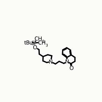 CC(C)(C)[Si](C)(C)OCCC1CCN(CCCN2C(=O)CCc3ccccc32)CC1